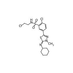 Cn1nc(-c2ccc(Cl)c(S(=O)(=O)NCCCl)c2)s/c1=N/C1CCCCC1